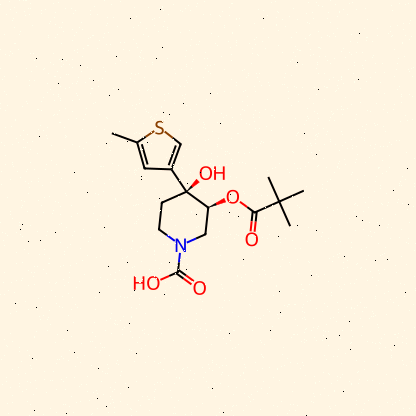 Cc1cc([C@@]2(O)CCN(C(=O)O)C[C@@H]2OC(=O)C(C)(C)C)cs1